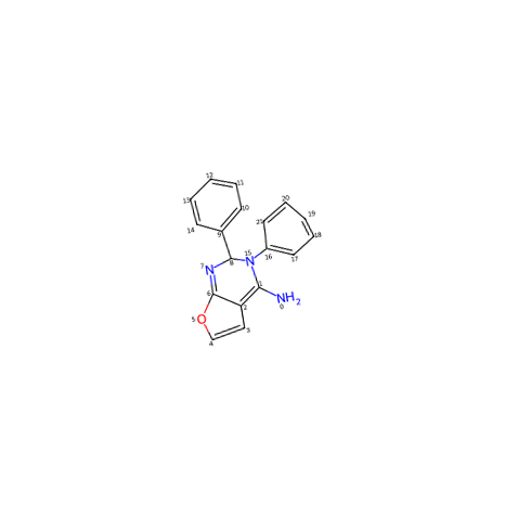 NC1=c2ccoc2=NC(c2ccccc2)N1c1ccccc1